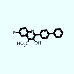 O=C(O)c1c(O)c(-c2ccc(-c3ccccc3)cc2)nc2ccc(F)cc12